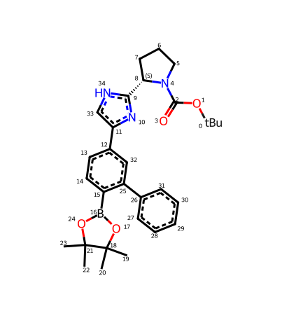 CC(C)(C)OC(=O)N1CCC[C@H]1c1nc(-c2ccc(B3OC(C)(C)C(C)(C)O3)c(-c3ccccc3)c2)c[nH]1